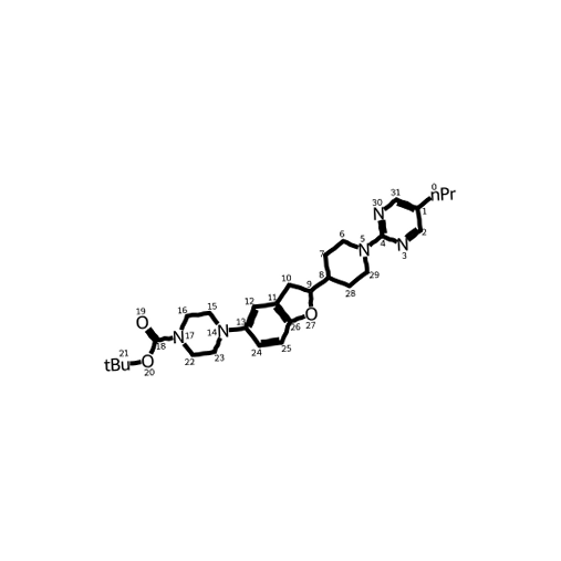 CCCc1cnc(N2CCC(C3Cc4cc(N5CCN(C(=O)OC(C)(C)C)CC5)ccc4O3)CC2)nc1